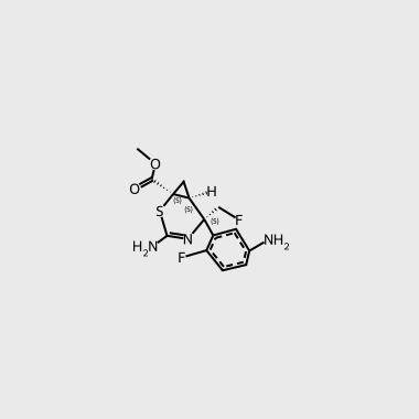 COC(=O)[C@]12C[C@H]1[C@@](CF)(c1cc(N)ccc1F)N=C(N)S2